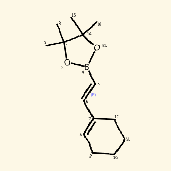 CC1(C)OB(/C=C/C2=CCCCC2)OC1(C)C